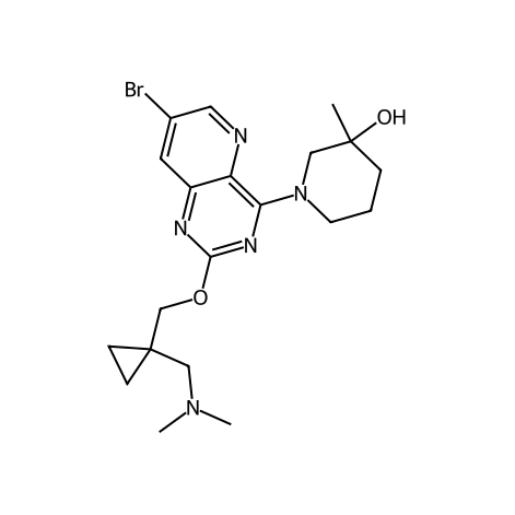 CN(C)CC1(COc2nc(N3CCCC(C)(O)C3)c3ncc(Br)cc3n2)CC1